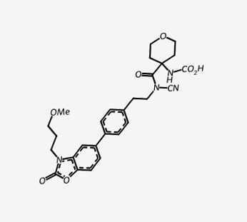 COCCCn1c(=O)oc2ccc(-c3ccc(CCN(C#N)C(=O)C4(NC(=O)O)CCOCC4)cc3)cc21